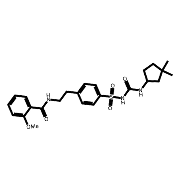 COc1ccccc1C(=O)NCCc1ccc(S(=O)(=O)NC(=O)NC2CCC(C)(C)C2)cc1